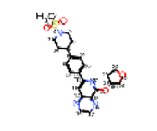 CS(=O)(=O)N1CCC(c2ccc(-c3cc4nccnc4c(O[C@@H]4CCOC4)n3)cc2)CC1